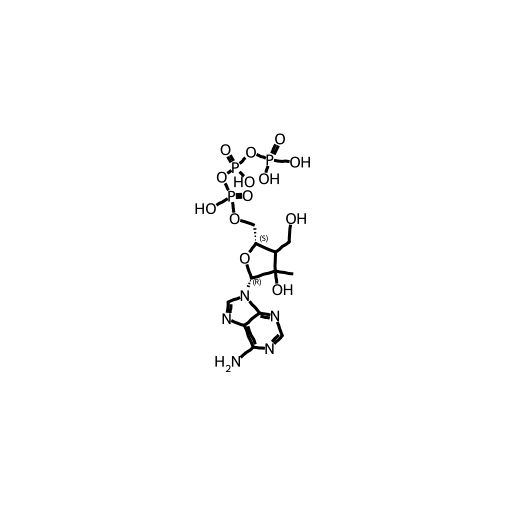 CC1(O)C(CO)[C@@H](COP(=O)(O)OP(=O)(O)OP(=O)(O)O)O[C@H]1n1cnc2c(N)ncnc21